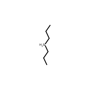 CCC[SiH2]CCC